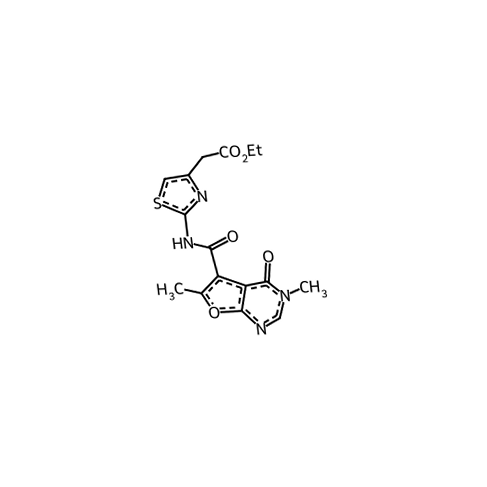 CCOC(=O)Cc1csc(NC(=O)c2c(C)oc3ncn(C)c(=O)c23)n1